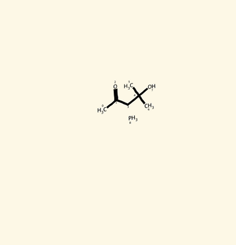 CC(=O)CC(C)(C)O.P